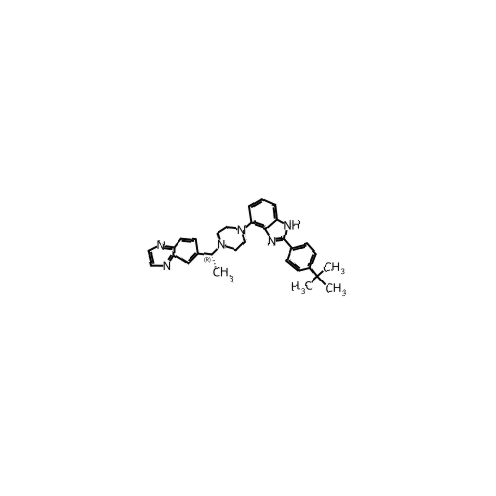 C[C@H](c1ccc2nccnc2c1)N1CCN(c2cccc3[nH]c(-c4ccc(C(C)(C)C)cc4)nc23)CC1